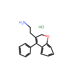 Cl.NCCC1=C(c2ccccc2)c2ccccc2OC1